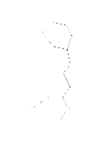 COC(CCC[C]1CCCCC1)OC